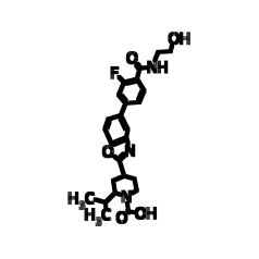 CC(C)C1CC(c2nc3cc(-c4ccc(C(=O)NCCO)c(F)c4)ccc3o2)CCN1C(=O)O